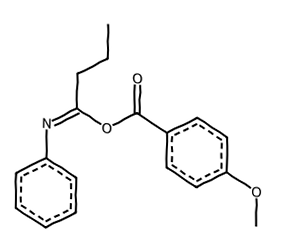 CCCC(=Nc1ccccc1)OC(=O)c1ccc(OC)cc1